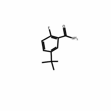 CC(C)(C)c1ccc(F)c(C(N)=O)c1